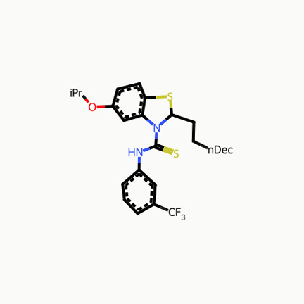 CCCCCCCCCCCCC1Sc2ccc(OC(C)C)cc2N1C(=S)Nc1cccc(C(F)(F)F)c1